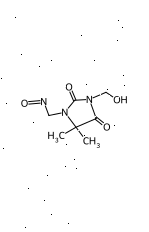 CC1(C)C(=O)N(CO)C(=O)N1CN=O